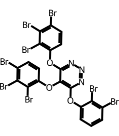 Brc1cccc(Oc2nnnc(Oc3ccc(Br)c(Br)c3Br)c2Oc2ccc(Br)c(Br)c2Br)c1Br